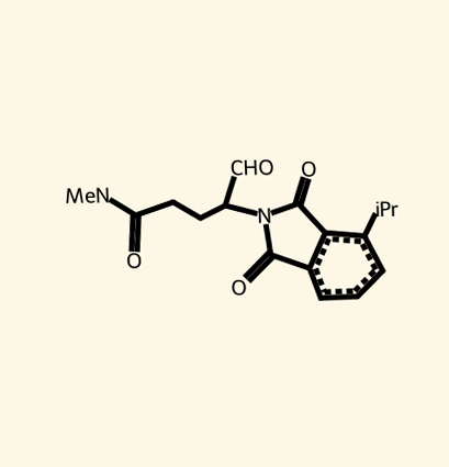 CNC(=O)CCC(C=O)N1C(=O)c2cccc(C(C)C)c2C1=O